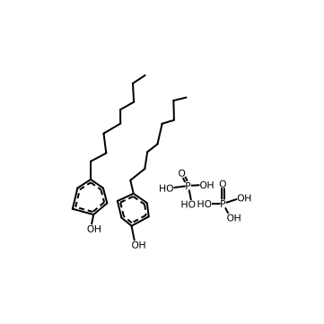 CCCCCCCCc1ccc(O)cc1.CCCCCCCCc1ccc(O)cc1.O=P(O)(O)O.O=P(O)(O)O